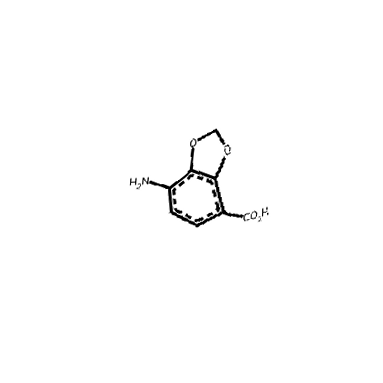 Nc1ccc(C(=O)O)c2c1OCO2